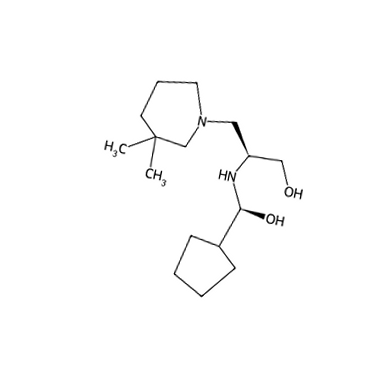 CC1(C)CCCN(C[C@@H](CO)N[C@@H](O)C2CCCC2)C1